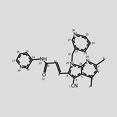 Cc1cc(C)c2c(C#N)c(C=CC(=O)Nc3cccnc3)n(Cc3cccnc3)c2n1